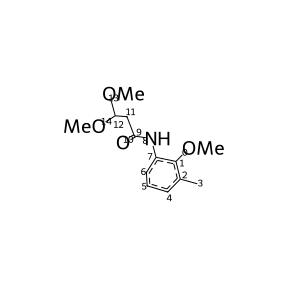 COc1c(C)cccc1NC(=O)CC(OC)OC